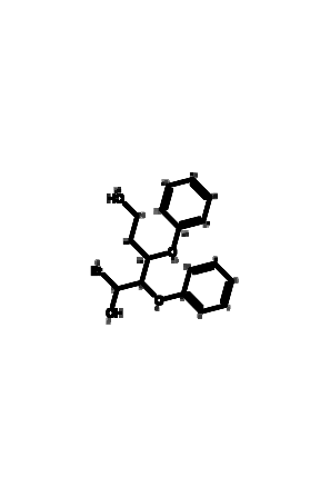 CCC(O)C(Oc1ccccc1)C(CCO)Oc1ccccc1